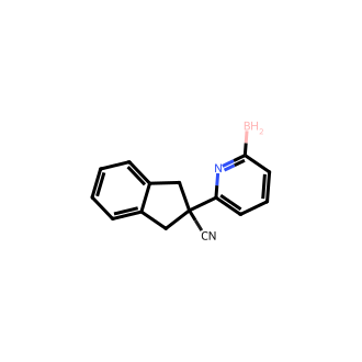 Bc1cccc(C2(C#N)Cc3ccccc3C2)n1